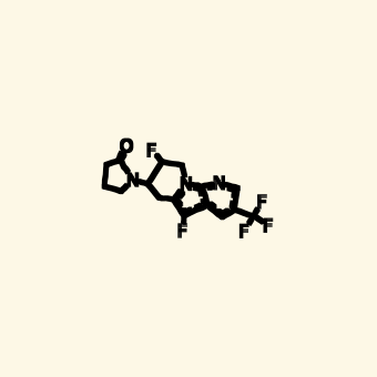 O=C1CCCN1C1Cc2c(F)c3cc(C(F)(F)F)cnc3n2CC1F